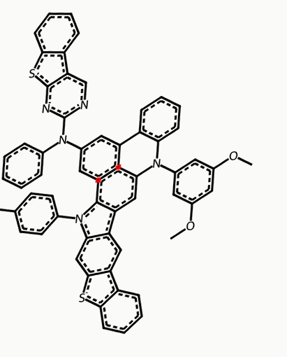 COc1cc(OC)cc(N(c2ccc3c(c2)c2cc4c(cc2n3-c2ccc(C)cc2)sc2ccccc24)c2ccccc2-c2cccc(N(c3ccccc3)c3ncc4c(n3)sc3ccccc34)c2)c1